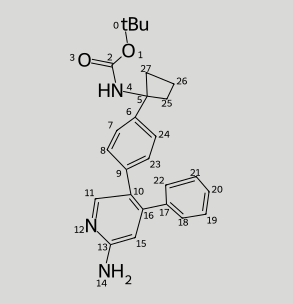 CC(C)(C)OC(=O)NC1(c2ccc(-c3cnc(N)cc3-c3ccccc3)cc2)CCC1